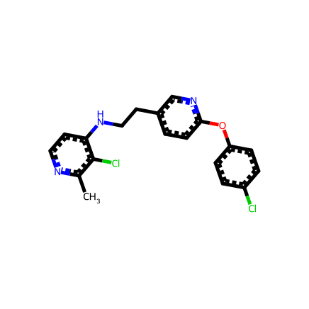 Cc1nccc(NCCc2ccc(Oc3ccc(Cl)cc3)nc2)c1Cl